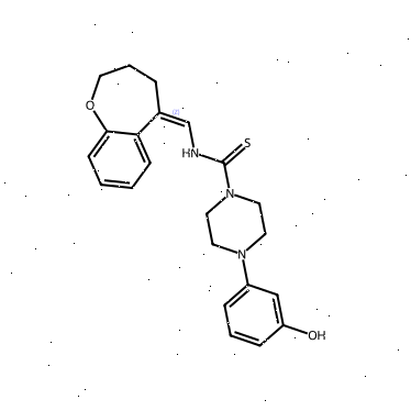 Oc1cccc(N2CCN(C(=S)N/C=C3/CCCOc4ccccc43)CC2)c1